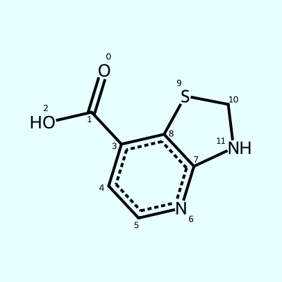 O=C(O)c1ccnc2c1SCN2